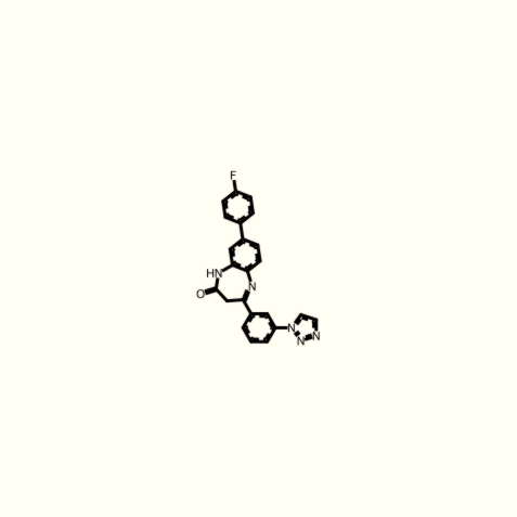 O=C1CC(c2cccc(-n3ccnn3)c2)=Nc2ccc(-c3ccc(F)cc3)cc2N1